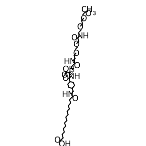 CC(=O)COCCOCCNC(=O)COCCOCCNC(=O)CC[C@H](NC(=O)C1CCC(CNC(=O)CCCCCCCCCCCCCCC(=O)O)CC1)C(=O)O